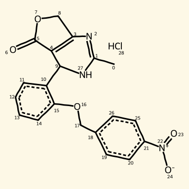 CC1=NC2=C(C(=O)OC2)C(c2ccccc2OCc2ccc([N+](=O)[O-])cc2)N1.Cl